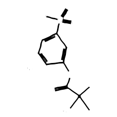 CCCC(C)C(C)(C)C(=O)Oc1cccc(S(=O)(=O)[O-])c1.[Na+]